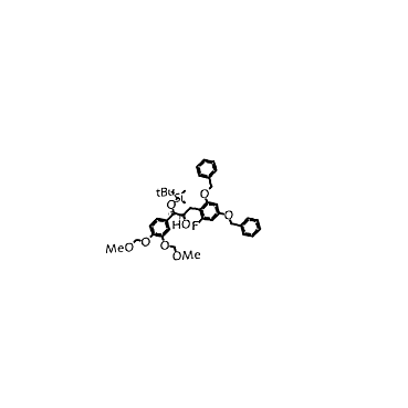 COCOc1ccc([C@@H](O[Si](C)(C)C(C)(C)C)[C@H](O)Cc2c(F)cc(OCc3ccccc3)cc2OCc2ccccc2)cc1OCOC